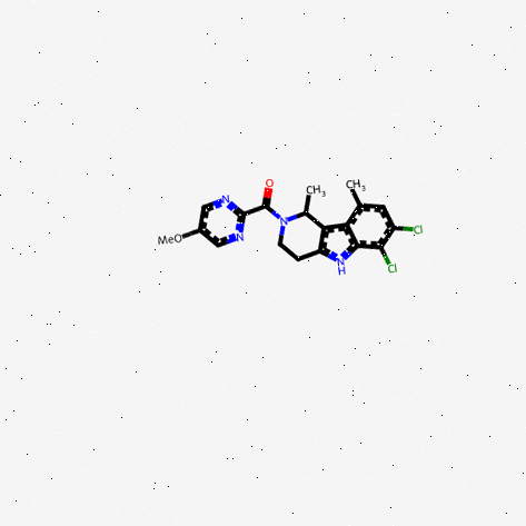 COc1cnc(C(=O)N2CCc3[nH]c4c(Cl)c(Cl)cc(C)c4c3C2C)nc1